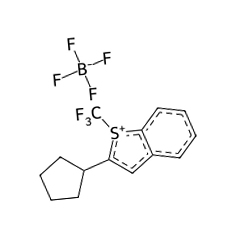 FC(F)(F)[s+]1c(C2CCCC2)cc2ccccc21.F[B-](F)(F)F